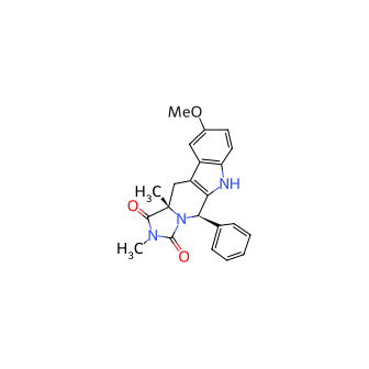 COc1ccc2[nH]c3c(c2c1)C[C@@]1(C)C(=O)N(C)C(=O)N1[C@@H]3c1ccccc1